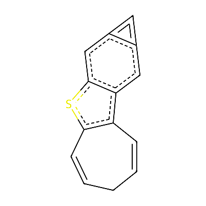 C1=c2cc3sc4c(c3cc2=1)C=CCC=C4